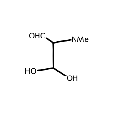 [CH2]NC(C=O)C(O)O